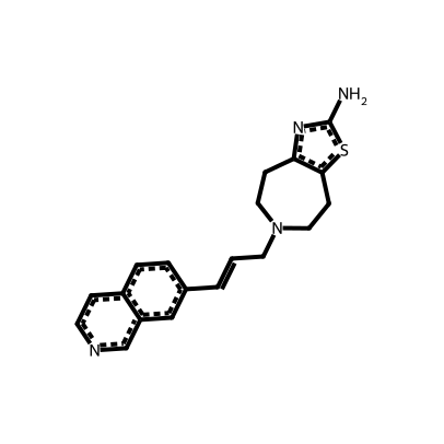 Nc1nc2c(s1)CCN(CC=Cc1ccc3ccncc3c1)CC2